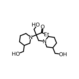 CCC(=O)C(CO)(CN1CCCC(CO)C1)N1CCCC(CO)C1